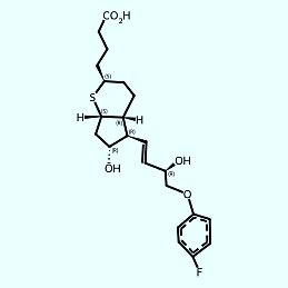 O=C(O)CCC[C@H]1CC[C@@H]2[C@@H](C=C[C@@H](O)COc3ccc(F)cc3)[C@H](O)C[C@@H]2S1